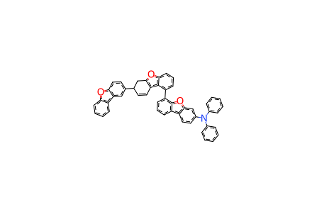 C1=CC(c2ccc3oc4ccccc4c3c2)Cc2oc3cccc(-c4cccc5c4oc4cc(N(c6ccccc6)c6ccccc6)ccc45)c3c21